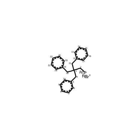 Br.PCC(Cc1ccccc1)(Cc1ccccc1)Cc1ccccc1